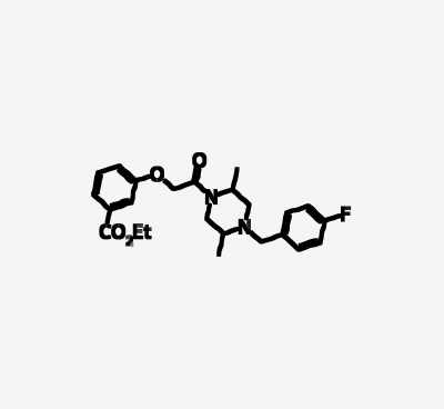 CCOC(=O)c1cccc(OCC(=O)N2CC(C)N(Cc3ccc(F)cc3)CC2C)c1